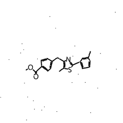 COC(=O)c1ccc(Cc2nc(-c3cccc(C)c3)sc2C)cc1